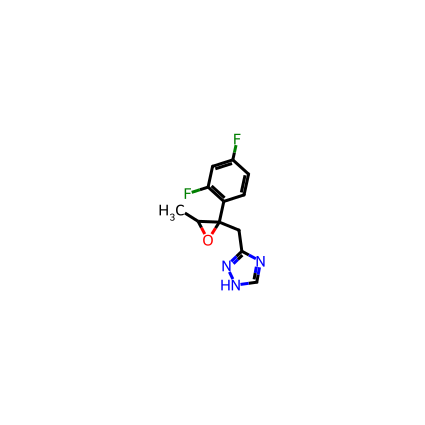 CC1OC1(Cc1nc[nH]n1)c1ccc(F)cc1F